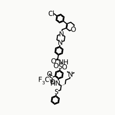 CN(C)CCC[C@H](CSc1ccccc1)Nc1ccc(S(=O)(=O)NC(=O)c2ccc(N3CCN(CC4=C(c5ccc(Cl)cc5)CCOC4)CC3)cc2)cc1S(=O)(=O)C(F)(F)F